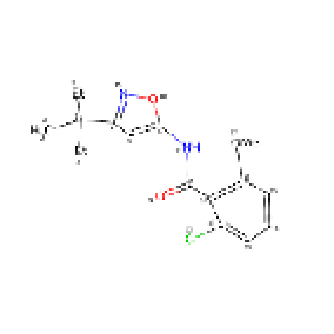 CCC(C)(CC)c1cc(NC(=O)c2c(Cl)cccc2OC)on1